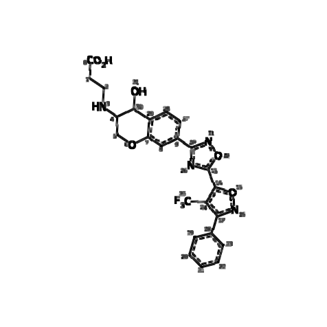 O=C(O)CCNC1COc2cc(-c3noc(-c4onc(-c5ccccc5)c4C(F)(F)F)n3)ccc2C1O